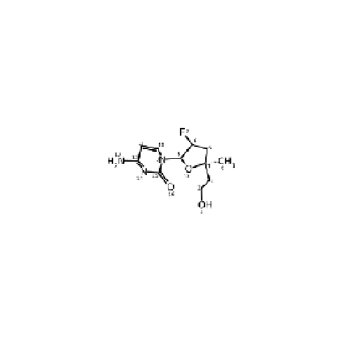 C[C@@]1(CCO)CC(F)C(n2ccc(N)nc2=O)O1